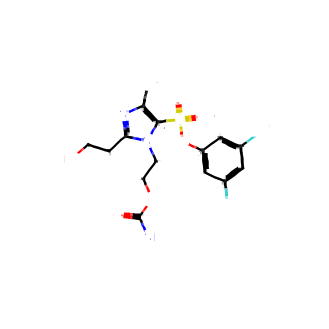 CC(C)c1nc(CCO)n(CCOC(N)=O)c1S(=O)(=O)Oc1cc(F)cc(F)c1